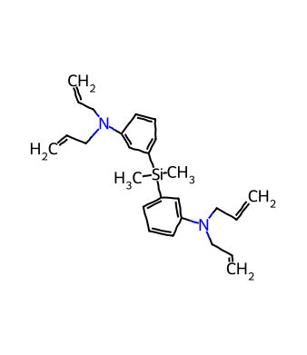 C=CCN(CC=C)c1cccc([Si](C)(C)c2cccc(N(CC=C)CC=C)c2)c1